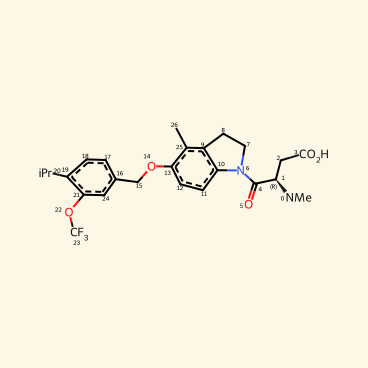 CN[C@H](CC(=O)O)C(=O)N1CCc2c1ccc(OCc1ccc(C(C)C)c(OC(F)(F)F)c1)c2C